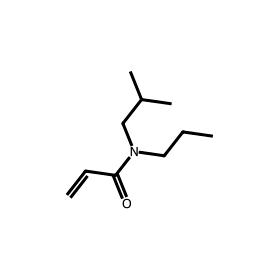 C=CC(=O)N(CCC)CC(C)C